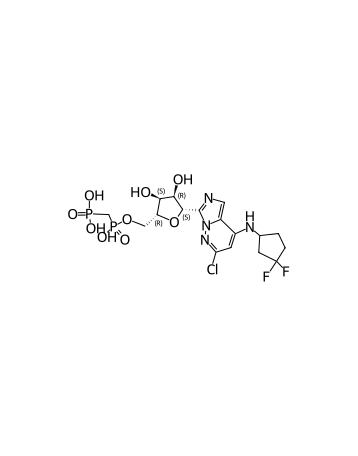 O=P(O)(O)CP(=O)(O)OC[C@H]1O[C@@H](c2ncc3c(NC4CCC(F)(F)C4)cc(Cl)nn23)[C@H](O)[C@@H]1O